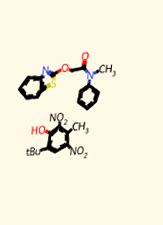 CN(C(=O)COc1nc2ccccc2s1)c1ccccc1.Cc1c([N+](=O)[O-])cc(C(C)(C)C)c(O)c1[N+](=O)[O-]